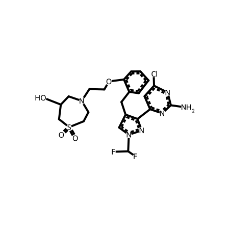 Nc1nc(Cl)cc(-c2nn(C(F)F)cc2Cc2ccccc2OCCN2CCS(=O)(=O)CC(O)C2)n1